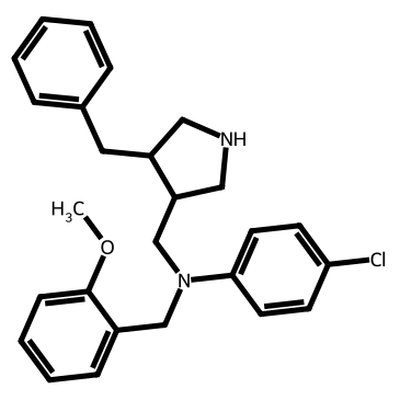 COc1ccccc1CN(CC1CNCC1Cc1ccccc1)c1ccc(Cl)cc1